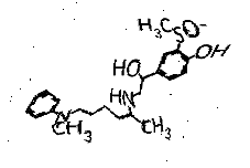 CC(CCCCN(C)c1ccccc1)NCC(O)c1ccc(O)c([S+](C)[O-])c1